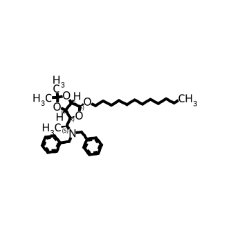 CCCCCCCCCCCCO[C@H]1O[C@H]([C@H](C)N(Cc2ccccc2)Cc2ccccc2)[C@@H]2OC(C)(C)O[C@H]12